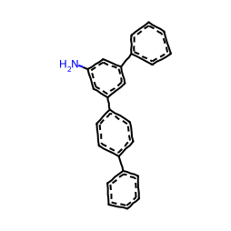 Nc1cc(-c2ccccc2)cc(-c2ccc(-c3ccccc3)cc2)c1